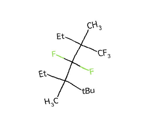 CCC(C)(C(C)(C)C)C(F)(F)C(C)(CC)C(F)(F)F